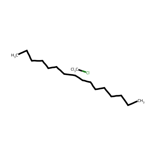 CCCCCCCCCCCCCCCC.ClC(Cl)(Cl)Cl